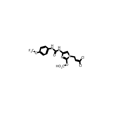 O=C(Nc1ccc(OC(F)(F)F)cc1)Nc1cn(CC=C(Cl)Cl)c(OC(=O)O)n1